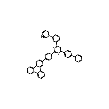 c1ccc(-c2ccc(-c3cc(-c4cccc(-c5cccnc5)c4)nc(-c4ccc(-c5ccc6c7ccccc7c7ccccc7c6c5)cc4)n3)cc2)cc1